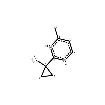 Cc1ccnc(C2(N)CC2)n1